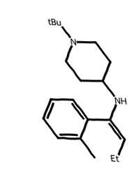 CC/C=C(/NC1CCN(C(C)(C)C)CC1)c1ccccc1C